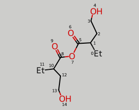 CCC(CCO)C(=O)OC(=O)C(CC)CCO